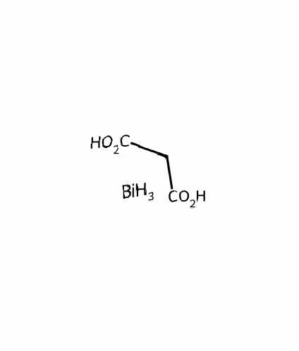 O=C(O)CC(=O)O.[BiH3]